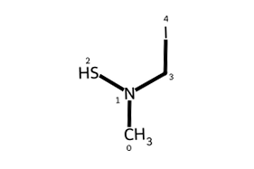 CN(S)CI